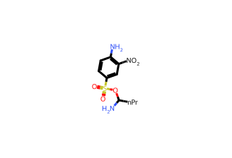 CCCC(N)OS(=O)(=O)c1ccc(N)c([N+](=O)[O-])c1